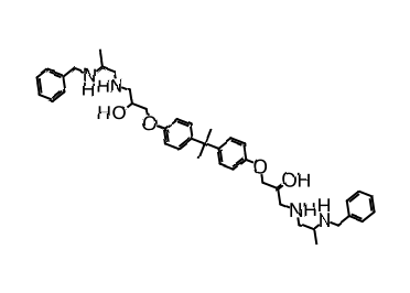 CC(CNCC(O)COc1ccc(C(C)(C)c2ccc(OCC(O)CNCC(C)NCc3ccccc3)cc2)cc1)NCc1ccccc1